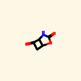 O=C1NC2C(=O)CC2O1